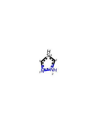 c1n[nH]c[siH]1